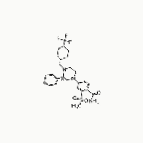 CS(=O)(=O)c1cc(N2CCN(C[C@H]3CC[C@H](C(F)(F)F)CC3)[C@H](c3ccccc3)C2)ccc1C(N)=O